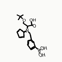 CC(C)(C)OCC(C(=O)O)N(Cc1cccc(B(O)O)c1)C1CCCC1